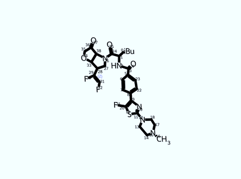 CCC(C)C(NC(=O)c1ccc(-c2nc(N3CCN(C)CC3)sc2F)cc1)C(=O)N1CC(/C(F)=C/F)C2OCC(=O)C21